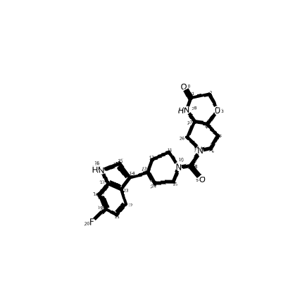 O=C1COC2CCN(C(=O)N3CCC(c4c[nH]c5cc(F)ccc45)CC3)CC2N1